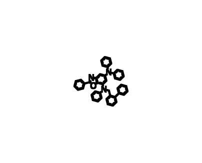 c1ccc(-c2nc3cc(N(c4ccccc4)c4ccccc4)cc(N(Cc4ccccc4-c4ccccc4)c4ccccc4)c3o2)cc1